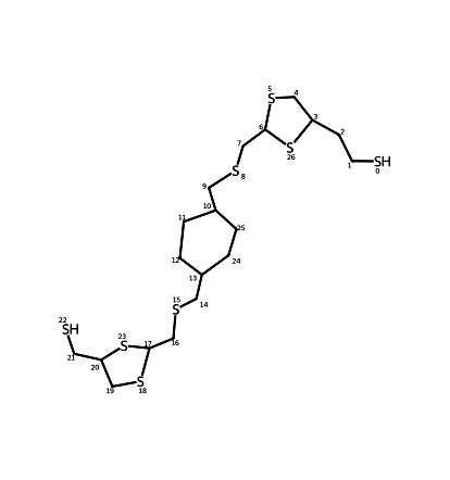 SCCC1CSC(CSCC2CCC(CSCC3SCC(CS)S3)CC2)S1